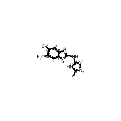 Cc1nnc(Nc2nc3cc(C(F)(F)F)c(Cl)cc3o2)[nH]1